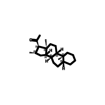 CC(=O)[C@H]1[C@@H](C)C[C@H]2[C@@H]3CC[C@H]4CCCC[C@]4(C)[C@H]3CC[C@@]21C